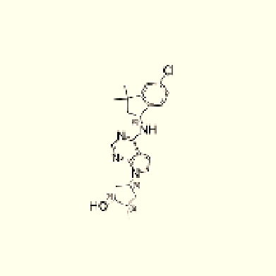 C[C@H]1C[C@@H](n2ccc3c(N[C@H]4CC(C)(C)c5cc(Cl)ccc54)ncnc32)C[C@H]1O